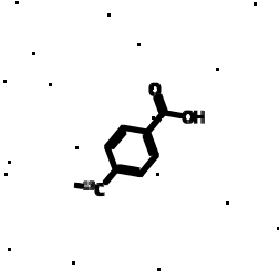 C[13CH2]c1ccc(C(=O)O)cc1